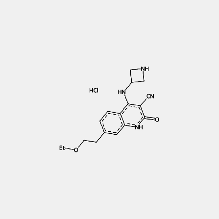 CCOCCc1ccc2c(NC3CNC3)c(C#N)c(=O)[nH]c2c1.Cl